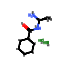 C[C@H](N)NC(=O)C1CCCCC1.Cl.Cl